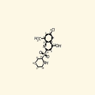 Cc1cc(Cl)cc2c(O)cc(S(=O)(=O)C3CSCCN3)nc12